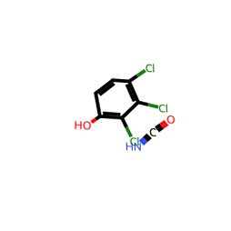 N=C=O.Oc1ccc(Cl)c(Cl)c1Cl